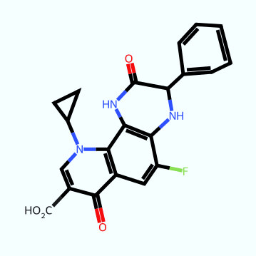 O=C(O)c1cn(C2CC2)c2c3c(c(F)cc2c1=O)NC(c1ccccc1)C(=O)N3